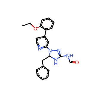 CCOc1ccccc1-c1ccnc(N2N=C(NC=O)NC2Cc2ccccc2)c1